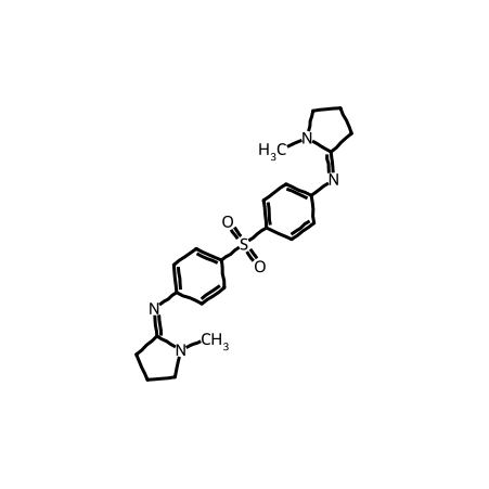 CN1CCC/C1=N/c1ccc(S(=O)(=O)c2ccc(/N=C3/CCCN3C)cc2)cc1